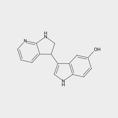 Oc1ccc2[nH]cc(C3CNc4ncccc43)c2c1